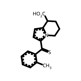 Cc1ccccc1C(=S)c1ccc2n1CCCC2C(=O)O